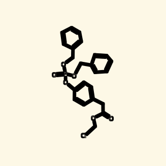 O=C(Cc1ccc(OP(=O)(OCc2ccccc2)OCc2ccccc2)cc1)OCCl